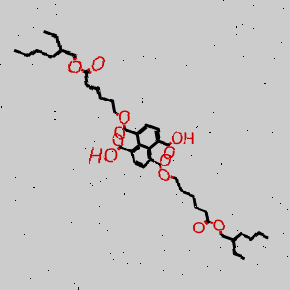 CCCCC(CC)COC(=O)CCCCCOC(=O)c1ccc(C(=O)O)c2c(C(=O)OCCCCCC(=O)OCC(CC)CCCC)ccc(C(=O)O)c12